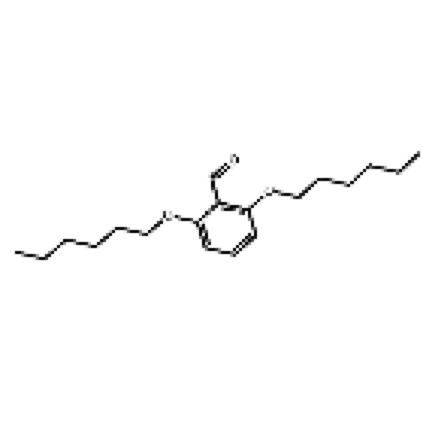 CCCCCCOc1cccc(OCCCCCC)c1C=O